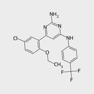 CCOc1ccc(Cl)cc1-c1cc(Nc2ccc(C(F)(F)F)cc2)nc(N)n1